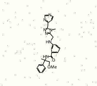 COCC(C)(NC(=O)c1cccc(NCc2nnc(-c3ccncn3)n2C)c1)c1ccccc1